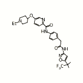 CCN1CCC(Oc2ccc(C(=O)Nc3ccc(CC(=O)Nc4cc(C(C)(C)C(F)(F)F)on4)cc3)nc2)CC1